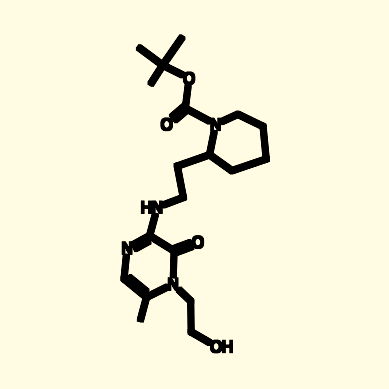 Cc1cnc(NCCC2CCCCN2C(=O)OC(C)(C)C)c(=O)n1CCO